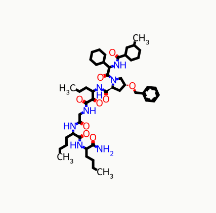 CCCCC(NC(=O)C(CCCC)NC(=O)CNC(=O)C(=O)C(CCC)NC(=O)[C@@H]1C[C@@H](OCc2ccccc2)CN1C(=O)C(NC(=O)C1CCCC(C)C1)C1CCCCC1)C(N)=O